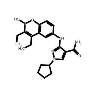 CCC1=C(CC)c2cc(Nc3nn(C4CCCC4)cc3C(N)=O)ccc2OB1O